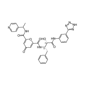 CC(NC(=O)c1cc(=O)cc(C(=O)N[C@@H](Cc2ccccc2)[C@H](O)C(=O)Nc2cccc(-c3nn[nH]n3)c2)o1)c1ccncc1